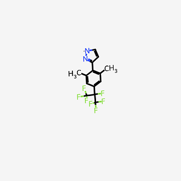 Cc1cc(C(F)(C(F)(F)F)C(F)(F)F)cc(C)c1C1=N[N]C=C1